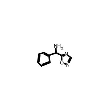 NC(c1ccccc1)c1n[c]no1